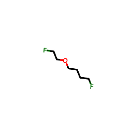 FCCCCOCCF